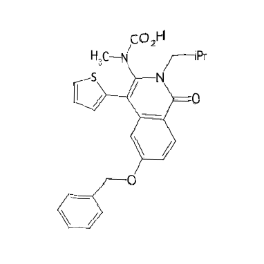 CC(C)Cn1c(N(C)C(=O)O)c(-c2cccs2)c2cc(OCc3ccccc3)ccc2c1=O